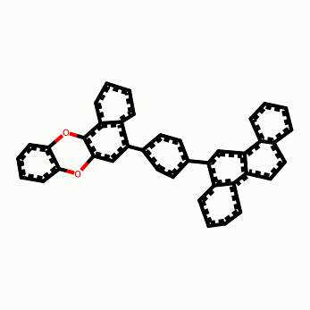 c1ccc2c(c1)Oc1cc(-c3ccc(-c4cc5c6ccccc6ccc5c5ccccc45)cc3)c3ccccc3c1O2